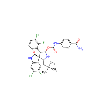 CC(C)(C)C[C@@H]1N[C@H](OC(=O)Nc2ccc(C(N)=O)cc2)[C@H](c2cccc(Cl)c2F)[C@]12C(=O)Nc1cc(Cl)c(F)cc12